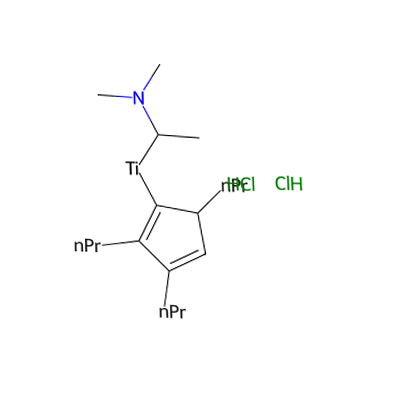 CCCC1=CC(CCC)[C]([Ti][CH](C)N(C)C)=C1CCC.Cl.Cl